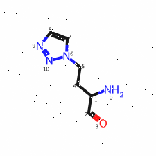 NC(C=O)CCn1ccnn1